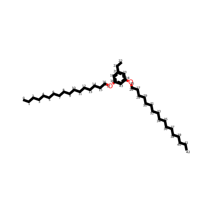 CCCCCCCCCCCCCCCCCOc1cc(CC)cc(OCCCCCCCCCCCCCCCCC)c1